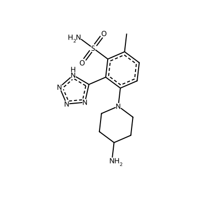 Cc1ccc(N2CCC(N)CC2)c(-c2nnn[nH]2)c1S(N)(=O)=O